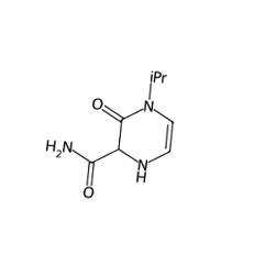 CC(C)N1C=CNC(C(N)=O)C1=O